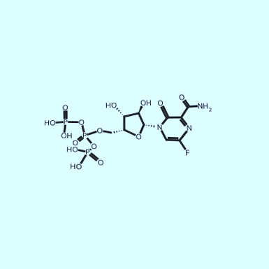 NC(=O)c1nc(F)cn([C@@H]2O[C@H](COP(=O)(OP(=O)(O)O)OP(=O)(O)O)[C@H](O)[C@H]2O)c1=O